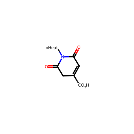 CCCCCCCN1C(=O)C=C(C(=O)O)CC1=O